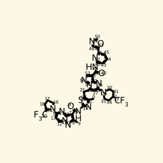 Cc1nc(NC(=O)c2c(C)nn3ccc(N4CCC[C@@H]4C(F)(F)F)nc23)sc1Cc1cc(N2CCC(C(F)(F)F)CC2)nc2c(C(=O)Nc3cccc(-c4cnco4)n3)cnn12